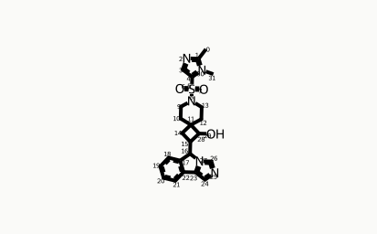 Cc1ncc(S(=O)(=O)N2CCC3(CC2)CC(C2c4ccccc4-c4cncn42)C3O)n1C